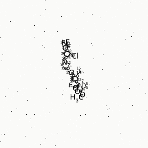 COC(=O)[C@@H]1CCCN1C(=O)c1cc(C2CC2)c(OCC2CCN(Cc3cc(Cl)cc(OC(F)(F)F)c3)CC2)cc1F